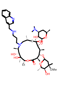 CC[C@H]1OC(=O)[C@H](C)[C@@H](O[C@H]2C[C@@](C)(OC)[C@@H](O)[C@H](C)O2)[C@H](C)[C@@H](O[C@@H]2O[C@H](C)C[C@H](N(C)C)[C@H]2O)[C@](C)(O)C[C@@H](C)CN(CCCNCc2cnc3ccccc3c2)[C@H](C)[C@@H](O)[C@]1(C)O